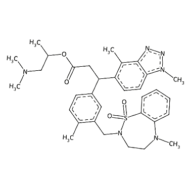 Cc1ccc(C(CC(=O)OC(C)CN(C)C)c2ccc3c(nnn3C)c2C)cc1CN1CCN(C)c2ccccc2S1(=O)=O